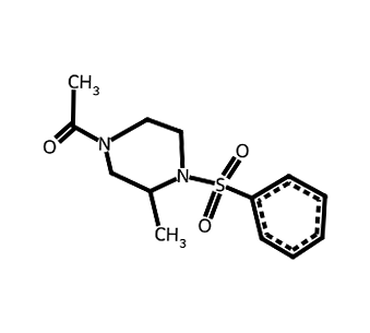 CC(=O)N1CCN(S(=O)(=O)c2ccccc2)C(C)C1